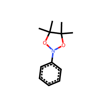 CC1(C)ON(c2ccccc2)OC1(C)C